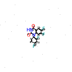 O=c1[nH]c(=O)n(-c2ccc(F)cc2F)c2cc(F)c(F)cc12